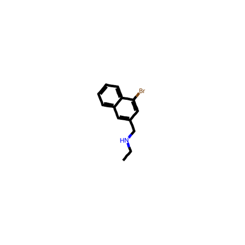 CCNCc1cc(Br)c2ccccc2c1